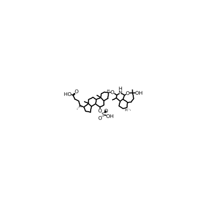 CC1C(O[C@@H]2CCC3(C)C(CC(OS(=O)(=O)O)C4C3CCC3(C)C4CCC3[C@H](C)CCC(=O)O)C2)NC2OC(C)(O)CCC3C2C1CC[C@H]3C